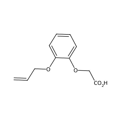 C=CCOc1ccccc1OCC(=O)O